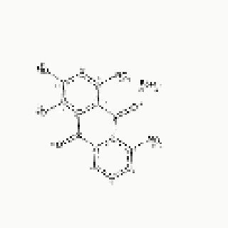 O=C1c2c(cccc2[N+](=O)[O-])C(=O)c2c(O)c(O)cc([N+](=O)[O-])c21.[PbH2]